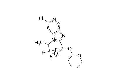 CC(OC1CCCCO1)c1nc2cnc(Cl)cc2n1C(C)C(F)(F)F